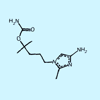 Cc1nc(N)cn1CCCC(C)(C)OC(N)=O